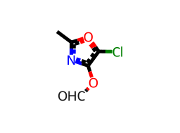 Cc1nc(OC=O)c(Cl)o1